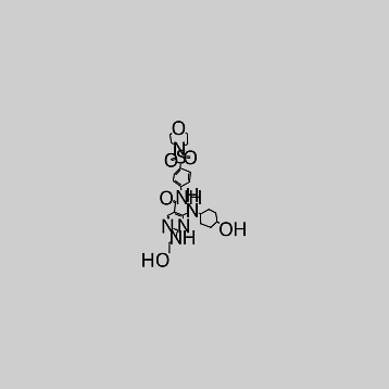 O=C(Nc1ccc(S(=O)(=O)N2CCOCC2)cc1)c1cnc(NCCO)nc1N[C@H]1CC[C@H](O)CC1